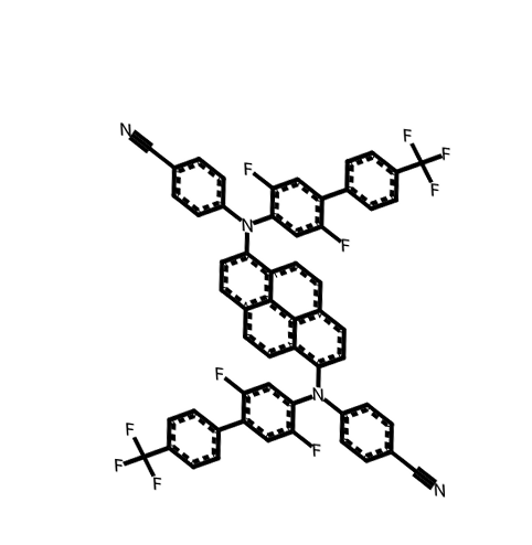 N#Cc1ccc(N(c2cc(F)c(-c3ccc(C(F)(F)F)cc3)cc2F)c2ccc3ccc4c(N(c5ccc(C#N)cc5)c5cc(F)c(-c6ccc(C(F)(F)F)cc6)cc5F)ccc5ccc2c3c54)cc1